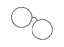 C1CCCCCCCCC(CC2CCCCCCCCCCCCCCCC2)CCCCCCC1